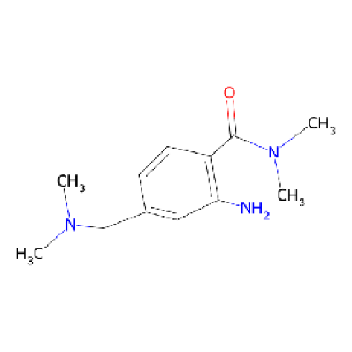 CN(C)Cc1ccc(C(=O)N(C)C)c(N)c1